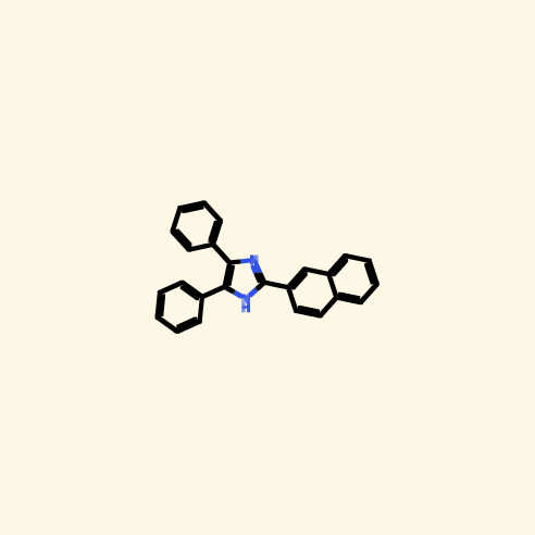 c1ccc(-c2nc(-c3ccc4ccccc4c3)[nH]c2-c2ccccc2)cc1